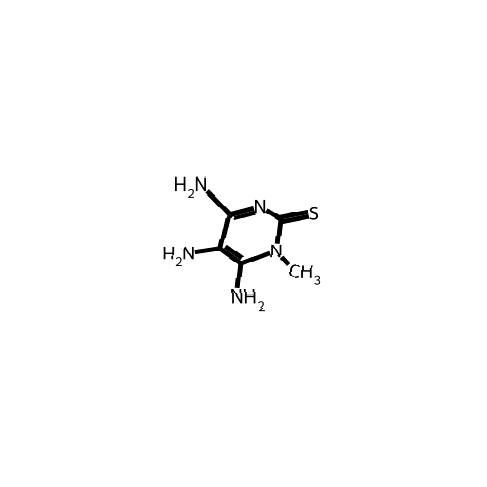 Cn1c(N)c(N)c(N)nc1=S